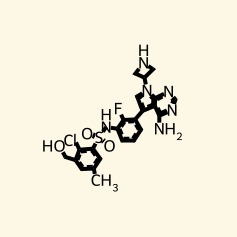 Cc1cc(CO)c(Cl)c(S(=O)(=O)Nc2cccc(-c3cn(C4CNC4)c4ncnc(N)c34)c2F)c1